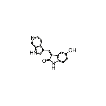 O=C1Nc2ccc(O)cc2C1=Cc1c[nH]c2cnccc12